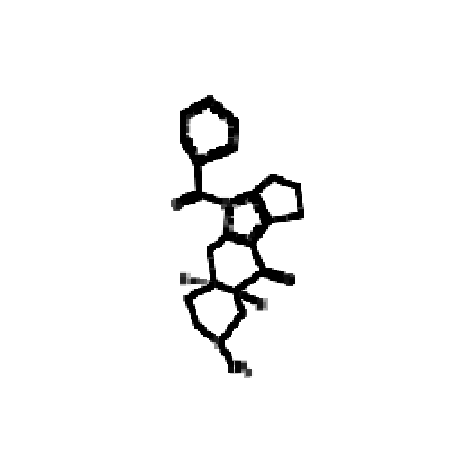 CN1CC[C@H]2Cc3c(c4c(n3C(=O)c3ccccc3)CCC4)C(=O)[C@@H]2C1